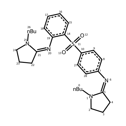 CCCCN1CCCC1=Nc1ccc(S(=O)(=O)c2ccccc2N=C2CCCN2CCCC)cc1